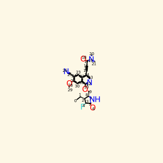 CC[C@@H]1[C@H](F)C(=O)N[C@@H]1COc1ncc(C#CC(=O)N(C)C)c2cc(C#N)c(OC)cc12